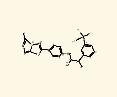 Cc1ncc2oc(-c3ccc(NC(O)C(C)c4cccc(C(F)(F)F)c4)cc3)nn12